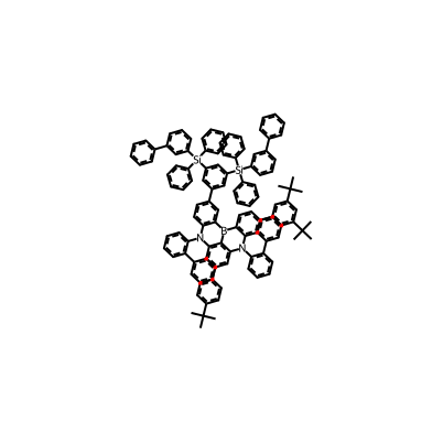 CC(C)(C)c1ccc(-c2cc3c4c(c2)N(c2ccccc2-c2ccccc2)c2cc(-c5cc(C(C)(C)C)cc(C(C)(C)C)c5)ccc2B4c2cc(-c4cc([Si](c5ccccc5)(c5ccccc5)c5cccc(-c6ccccc6)c5)cc([Si](c5ccccc5)(c5ccccc5)c5cccc(-c6ccccc6)c5)c4)ccc2N3c2ccccc2-c2ccccc2)cc1